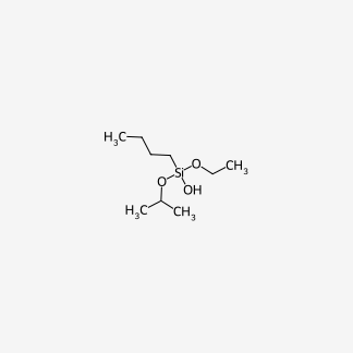 CCCC[Si](O)(OCC)OC(C)C